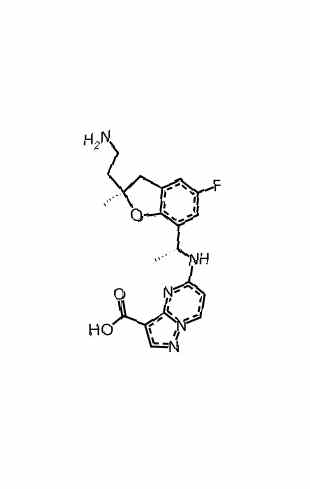 C[C@@H](Nc1ccn2ncc(C(=O)O)c2n1)c1cc(F)cc2c1O[C@@](C)(CCN)C2